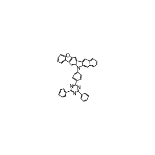 c1ccc(-c2nc(-c3ccccc3)nc(-c3ccc(-n4c5cc6ccccc6cc5c5cc6oc7ccccc7c6cc54)cc3)n2)cc1